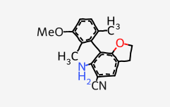 COc1ccc(C)c(-c2c(N)c(C#N)cc3c2OCC3)c1C